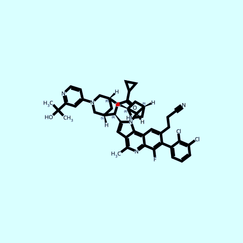 Cc1nc2c(F)c(-c3cccc(Cl)c3Cl)c(CCC#N)cc2c2c1cc([C@H]1[C@H]3C[C@H](CN(c4ccnc(C(C)(C)O)c4)C3)N1C(=O)C1CC1)n2[C@H]1[C@H]2CN[C@@H]1C2